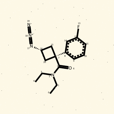 CCN(CC)C(=O)[C@]1(c2cccc(F)c2)C[C@@H](N=[N+]=[N-])C1